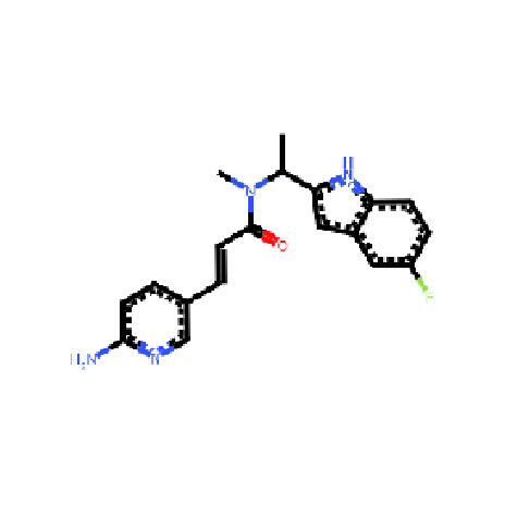 CC(c1cc2cc(F)ccc2[nH]1)N(C)C(=O)C=Cc1ccc(N)nc1